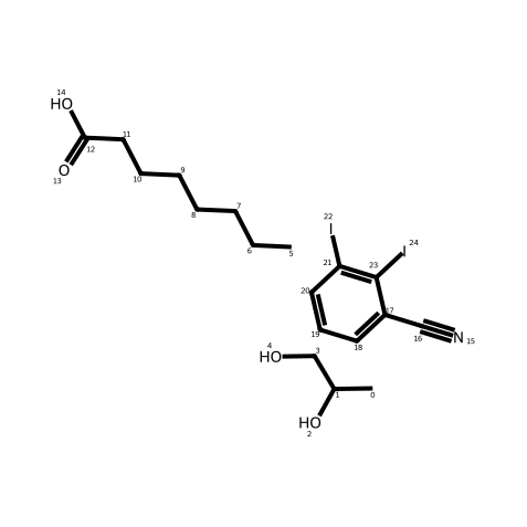 CC(O)CO.CCCCCCCC(=O)O.N#Cc1cccc(I)c1I